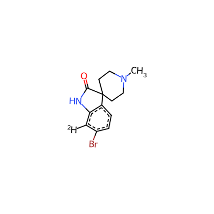 [2H]c1c(Br)ccc2c1NC(=O)C21CCN(C)CC1